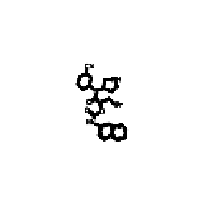 CC(C)CC(OC(=O)Nc1ccc2ccccc2c1)C(=O)N(C1CCNC1)C1CCCC(C#N)C1